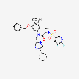 O=C(O)c1ccc(N(Cc2cnc(C3CCCCC3)cn2)C(=O)C2CCN2S(=O)(=O)c2cnc(F)c(F)c2)cc1OCc1ccccc1